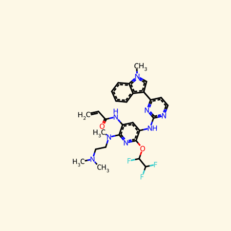 C=CC(=O)Nc1cc(Nc2nccc(-c3cn(C)c4ccccc34)n2)c(OC(F)C(F)F)nc1N(C)CCN(C)C